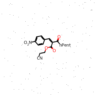 CCCCCC(=O)C(=Cc1ccc([N+](=O)[O-])cc1)C(=O)OCCC#N